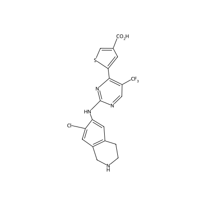 O=C(O)c1csc(-c2nc(Nc3cc4c(cc3Cl)CNCC4)ncc2C(F)(F)F)c1